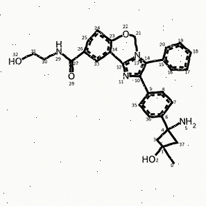 CC1(O)CC(N)(c2ccc(-c3nc4n(c3-c3ccccc3)COc3ccc(C(=O)NCCO)cc3-4)cc2)C1